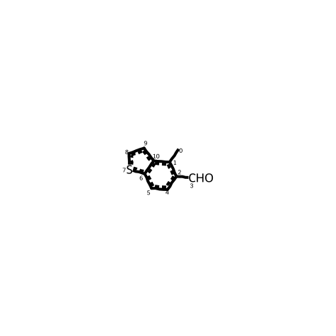 Cc1c(C=O)ccc2sccc12